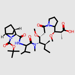 CC[C@H](C)[C@@H]([C@@H](CC(=O)N1CCCC1[C@H](OC)[C@@H](C)C(=O)O)OC)N(C)C(=O)C(NC(=O)[C@@H]1[C@H]2CC[C@H](C2)N1C(=O)OC(C)(C)C)C(C)C